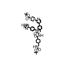 CC(C)(C)OC(=O)NCC1CCC(C(=O)N[C@@H](Cc2ccc(-c3ccnc(N4CCN(C(=O)OC(C)(C)C)CC4)c3)cc2)C(=O)Nc2ccc(-c3nn[nH]n3)cc2)CC1